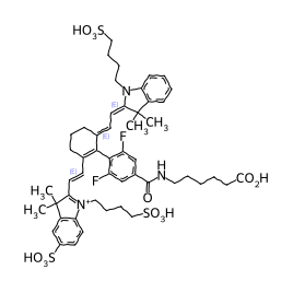 CC1(C)C(/C=C/C2=C(c3c(F)cc(C(=O)NCCCCCC(=O)O)cc3F)C(=C/C=C3/N(CCCCS(=O)(=O)O)c4ccccc4C3(C)C)/CCC2)=[N+](CCCCS(=O)(=O)O)c2ccc(S(=O)(=O)O)cc21